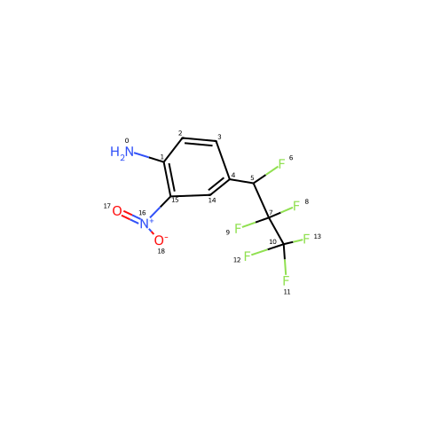 Nc1ccc(C(F)C(F)(F)C(F)(F)F)cc1[N+](=O)[O-]